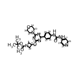 CC(C)(C)OC(=O)N1CC(Oc2nc(-c3ccc(NC(=O)Nc4ccncc4)cc3)nc(N3CCOCC3)n2)C1